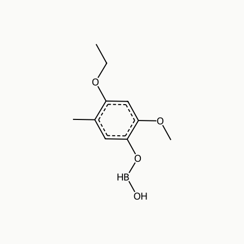 CCOc1cc(OC)c(OBO)cc1C